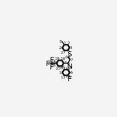 Cc1ccc(S/C=C/C(=N/c2cccc(F)c2)c2ccc(C(F)(F)F)cc2)cc1